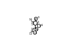 COc1cc(OC)c(C(=O)CC(C)=O)cc1C